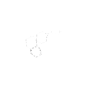 O=C(O)N1CCC2(CC1)OCCc1ccccc12